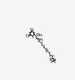 OC(CNCCCCCCOCCCc1nccs1)c1cc(Cl)cc(Cl)c1